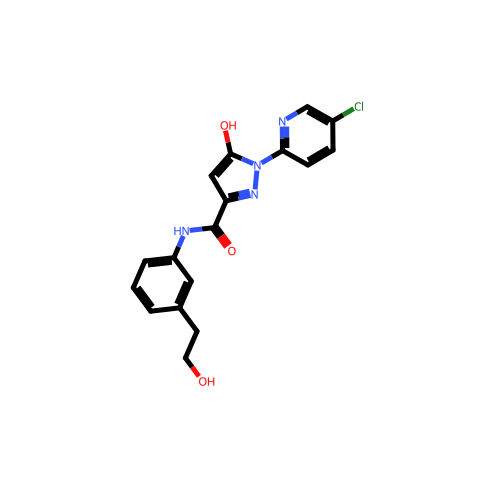 O=C(Nc1cccc(CCO)c1)c1cc(O)n(-c2ccc(Cl)cn2)n1